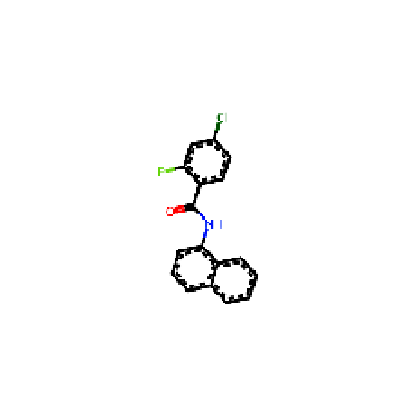 O=C(Nc1cccc2ccccc12)c1ccc(Cl)cc1F